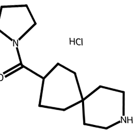 Cl.O=C(C1CCC2(CCNCC2)CC1)N1CCCC1